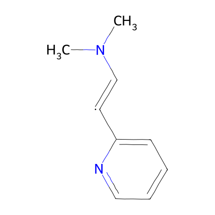 CN(C)/C=[C]/c1ccccn1